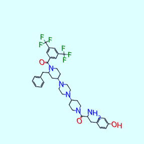 NC(Cc1ccc(O)cc1)C(=O)N1CCC(N2CCN(C3CCN(C(=O)c4cc(C(F)(F)F)cc(C(F)(F)F)c4)C(Cc4ccccc4)C3)CC2)CC1